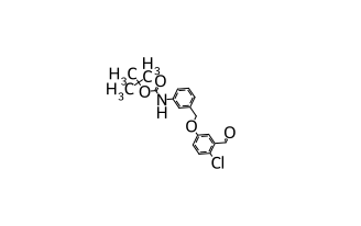 CC(C)(C)OC(=O)Nc1cccc(COc2ccc(Cl)c(C=O)c2)c1